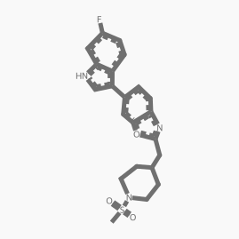 CS(=O)(=O)N1CCC(Cc2nc3ccc(-c4c[nH]c5cc(F)ccc45)cc3o2)CC1